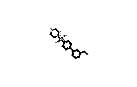 CCc1cccc(-c2ccc(S(=O)(=O)N3CCOCC3)cc2)c1